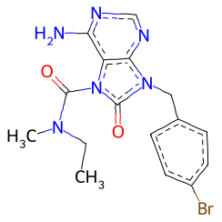 CCN(C)C(=O)n1c(=O)n(Cc2ccc(Br)cc2)c2ncnc(N)c21